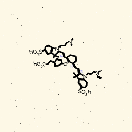 C=CN(C)CCCN1/C(=C/C=C2\CCCC(/C=C/C3=[N+](CCCN(C)C)c4ccc(S(=O)(=O)O)cc4C3(C)C)=C2Oc2ccc(CCC(=O)O)cc2)C(C)(C)c2cc(S(=O)(=O)O)ccc21